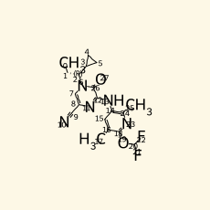 CC[C@H](C1CC1)n1cc(C#N)nc(Nc2cc(C)c(OC(F)F)nc2C)c1=O